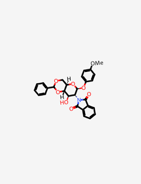 COc1ccc(O[C@@H]2O[C@@H]3COC(c4ccccc4)O[C@H]3[C@H](O)[C@H]2N2C(=O)c3ccccc3C2=O)cc1